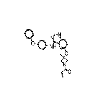 C=CC(=O)N1CC(C)(Oc2ccc3ncnc(Nc4ccc(Oc5ccccc5)cc4)c3n2)C1